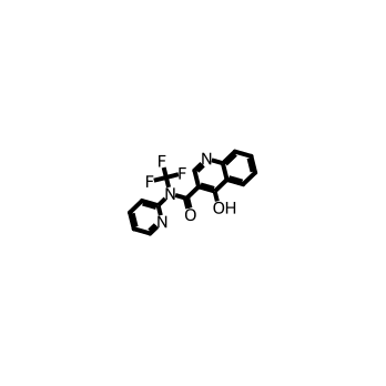 O=C(c1cnc2ccccc2c1O)N(c1ccccn1)C(F)(F)F